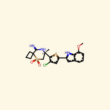 COc1cccc2cc(-c3cc(Cl)c([C@]4(C)CS(=O)(=O)C5(CCC5)C(=N)N4)s3)[nH]c12